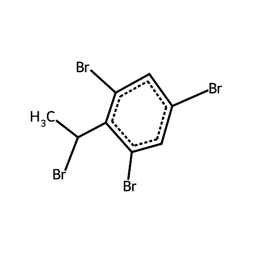 CC(Br)c1c(Br)cc(Br)cc1Br